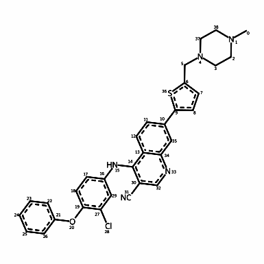 CN1CCN(Cc2ccc(-c3ccc4c(Nc5ccc(Oc6ccccc6)c(Cl)c5)c(C#N)cnc4c3)s2)CC1